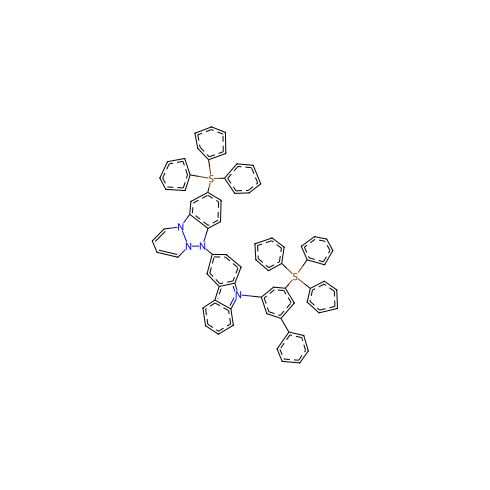 C1=CN2c3cc(S(c4ccccc4)(c4ccccc4)c4ccccc4)ccc3N(c3ccc4c(c3)c3ccccc3n4-c3cc(-c4ccccc4)cc(S(c4ccccc4)(c4ccccc4)c4ccccc4)c3)N2C=C1